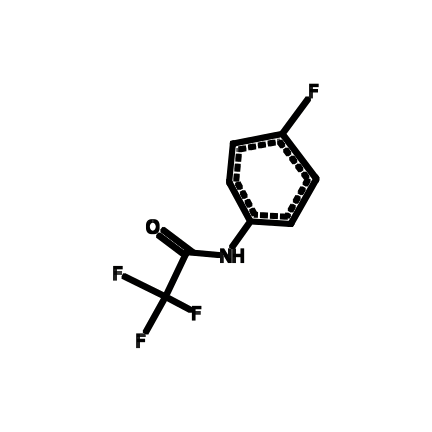 O=C(Nc1ccc(F)cc1)C(F)(F)F